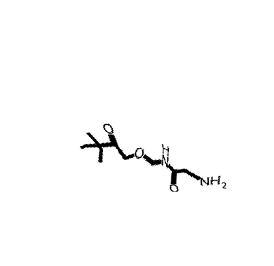 CC(C)(C)C(=O)COCNC(=O)CN